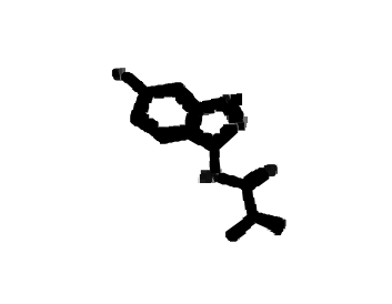 CC(C)C(=O)Nc1n[nH]c2cc(Cl)ccc12